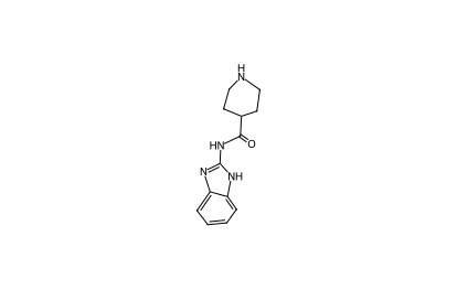 O=C(Nc1nc2ccccc2[nH]1)C1CCNCC1